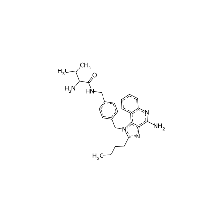 CCCCc1nc2c(N)nc3ccccc3c2n1Cc1ccc(CNC(=O)C(N)C(C)C)cc1